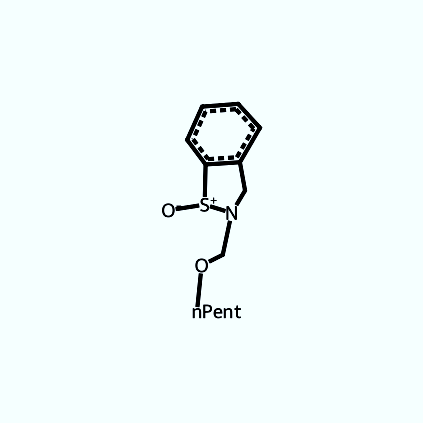 CCCCCOCN1Cc2ccccc2[S+]1[O-]